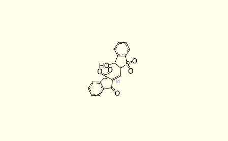 O=C1/C(=C/C2C(O)c3ccccc3S2(=O)=O)S(=O)(=O)c2ccccc21